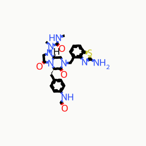 CNC(=O)N(C)N1CC(=O)N2[C@@H](Cc3ccc(NC=O)cc3)C(=O)N(Cc3cccc4sc(N)nc34)C[C@@H]21